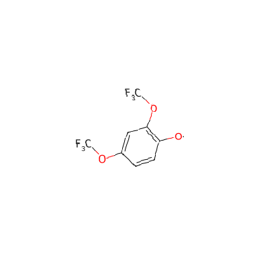 [O]c1ccc(OC(F)(F)F)cc1OC(F)(F)F